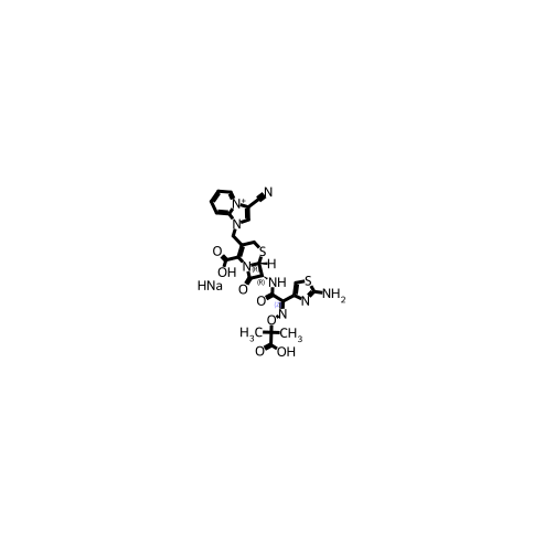 CC(C)(O/N=C(\C(=O)N[C@@H]1C(=O)N2C(C(=O)O)=C(Cn3cc(C#N)[n+]4ccccc34)CS[C@H]12)c1csc(N)n1)C(=O)O.[NaH]